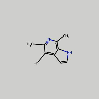 Cc1nc(C)c2[nH]ccc2c1C(C)C